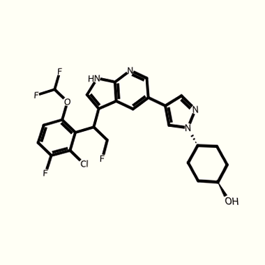 O[C@H]1CC[C@H](n2cc(-c3cnc4[nH]cc(C(CF)c5c(OC(F)F)ccc(F)c5Cl)c4c3)cn2)CC1